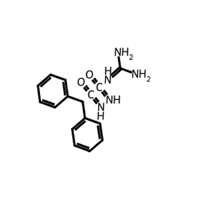 N=C(N)N.N=C=O.N=C=O.c1ccc(Cc2ccccc2)cc1